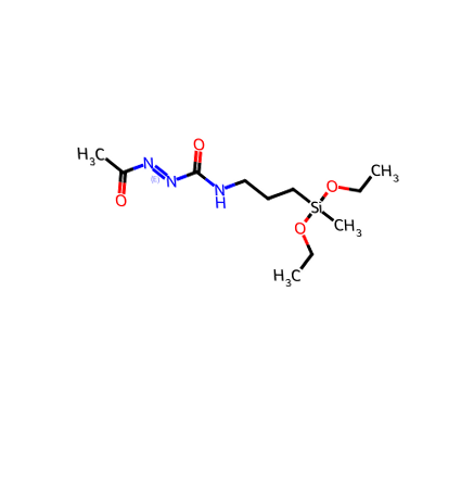 CCO[Si](C)(CCCNC(=O)/N=N/C(C)=O)OCC